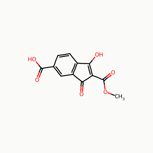 COC(=O)C1=C(O)c2ccc(C(=O)O)cc2C1=O